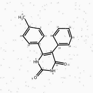 Cc1ccc(-c2[nH]c(=O)[nH]c(=O)c2-c2ccccc2)cc1